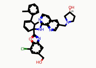 Cc1ccccc1C1=CC=CC(Nc2nccc3cc(CN4CC[C@@H](O)C4)cnc23)(c2nc3cc(CO)cc(Cl)c3o2)C1C